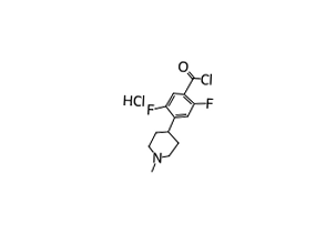 CN1CCC(c2cc(F)c(C(=O)Cl)cc2F)CC1.Cl